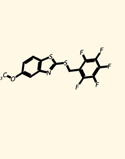 COc1ccc2sc(SCc3c(F)c(F)c(F)c(F)c3F)nc2c1